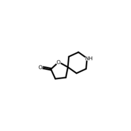 O=C1CCC2(CCNCC2)O1